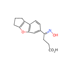 O=C(O)CC/C(=N\O)c1ccc2c3c(oc2c1)CCC3